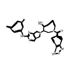 Cc1cc(C)cc(Nc2ncc3c(n2)CN(C2CN(C(=O)c4ccc5[nH]nnc5c4)CCC2O)C3)c1